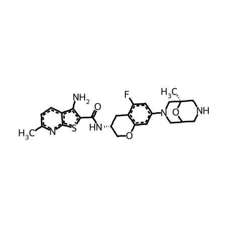 Cc1ccc2c(N)c(C(=O)N[C@H]3COc4cc(N5CC6CNC[C@](C)(C5)O6)cc(F)c4C3)sc2n1